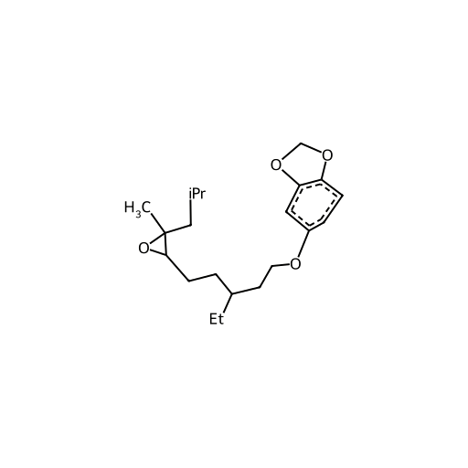 CCC(CCOc1ccc2c(c1)OCO2)CCC1OC1(C)CC(C)C